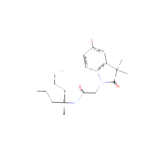 COCC[C@@](C)(CCC(=O)O)NC(=O)CN1C(=O)C(C)(C)c2cc(Br)ccc21